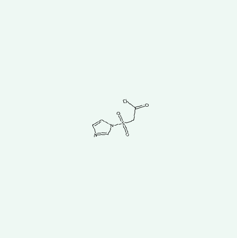 O=C(Cl)CS(=O)(=O)n1ccnc1